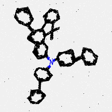 CC1(C)c2ccccc2-c2c(-c3ccccc3)cc3ccc(N(c4ccc(-c5ccccc5)cc4)c4ccc(-c5ccccc5)cc4)cc3c21